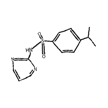 CC(C)c1ccc(S(=O)(=O)Nc2ncccn2)cc1